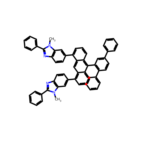 Cn1c(-c2ccccc2)nc2ccc(-c3cccc4c(-c5cc(-c6ccccc6)ccc5-c5ccccc5)c5cccc(-c6ccc7nc(-c8ccccc8)n(C)c7c6)c5cc34)cc21